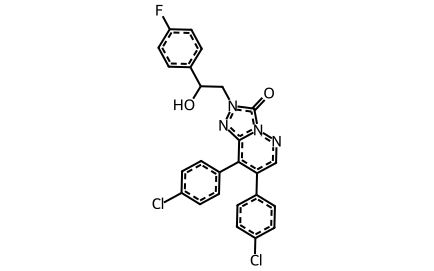 O=c1n(CC(O)c2ccc(F)cc2)nc2c(-c3ccc(Cl)cc3)c(-c3ccc(Cl)cc3)cnn12